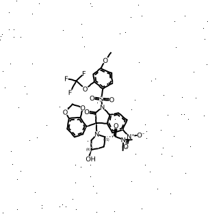 COc1ccc(S(=O)(=O)N2C(=O)C(c3cccc4c3OCO4)(N3C[C@H](O)C[C@H]3C(=O)N(C)C)c3cc([N+](=O)[O-])ccc32)c(OC(F)(F)F)c1